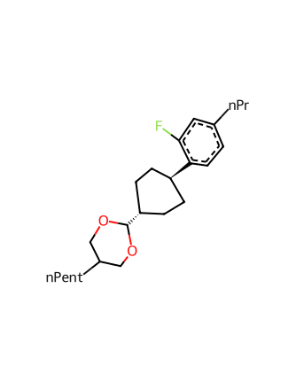 CCCCCC1COC([C@H]2CC[C@H](c3ccc(CCC)cc3F)CC2)OC1